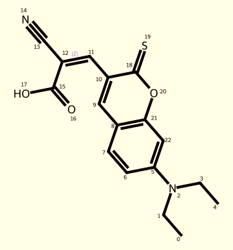 CCN(CC)c1ccc2cc(/C=C(/C#N)C(=O)O)c(=S)oc2c1